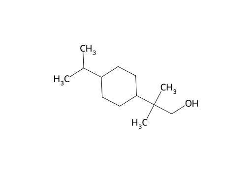 CC(C)C1CCC(C(C)(C)CO)CC1